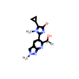 CC[C@H](O)c1nc2nn(C)cc2cc1-c1nc(Br)c(C2CC2)n1C